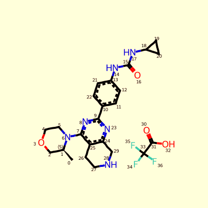 C[C@H]1COCCN1c1nc(-c2ccc(NC(=O)NC3CC3)cc2)nc2c1CCNC2.O=C(O)C(F)(F)F